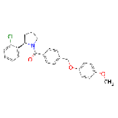 COc1ccc(OCc2ccc(C(=O)N3CCC[C@@H]3c3ccccc3Cl)cc2)cc1